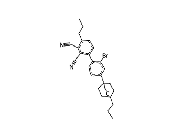 CCCc1ccc(-c2ccc(C34CCC(CCC)(CC3)CC4)cc2Br)c(C#N)c1C#N